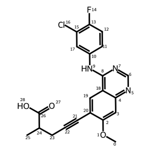 COc1cc2ncnc(Nc3ccc(F)c(Cl)c3)c2cc1C#CCC(C)C(=O)O